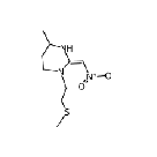 CSCCN1CCC(C)NC1=C[N+](=O)[O-]